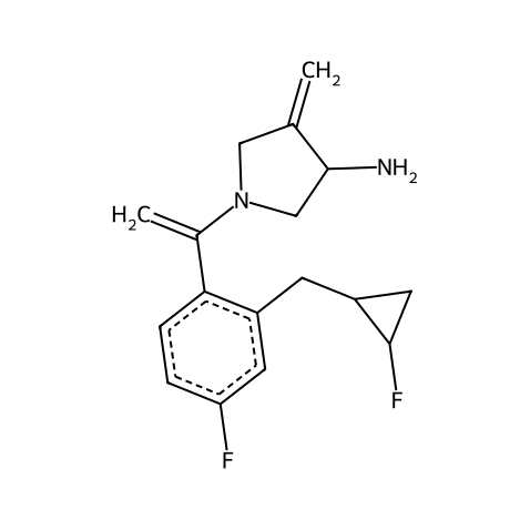 C=C1CN(C(=C)c2ccc(F)cc2CC2CC2F)CC1N